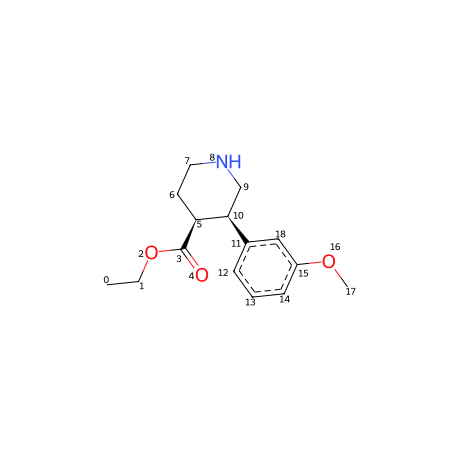 CCOC(=O)[C@H]1CCNC[C@H]1c1cccc(OC)c1